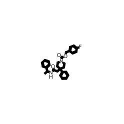 CC(NC(=O)CC1(c2ccccc2)CCN(C(=O)OCc2ccc(F)cc2)CC1)c1ccccc1